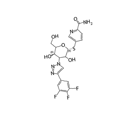 NC(=O)c1ccc(S[C@H]2OC(CO)[C@H](O)C(n3cc(-c4cc(F)c(F)c(F)c4)nn3)C2O)cn1